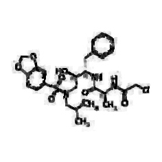 CC(C)CN(C[C@@H](O)[C@H](Cc1ccccc1)NC(=O)[C@H](C)NC(=O)CCl)S(=O)(=O)c1ccc2c(c1)OCO2